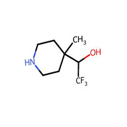 CC1(C(O)C(F)(F)F)CCNCC1